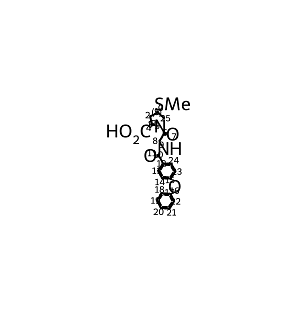 CS[C@H]1C[C@H](C(=O)O)N(C(=O)CNC(=O)c2ccc(Oc3ccccc3)cc2)C1